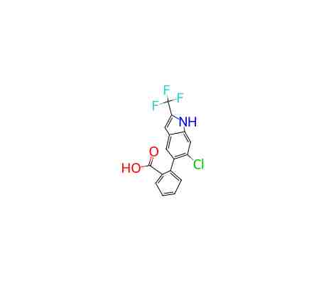 O=C(O)c1ccccc1-c1cc2cc(C(F)(F)F)[nH]c2cc1Cl